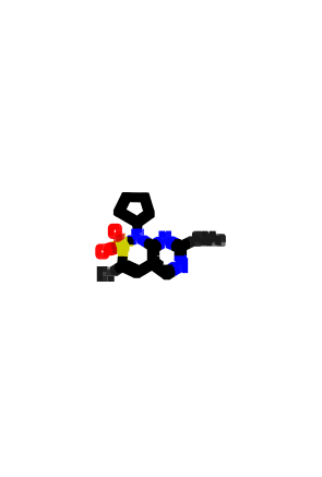 CCC1=Cc2cnc(SC)nc2N(C2CCCC2)S1(=O)=O